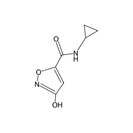 O=C(NC1CC1)c1cc(O)no1